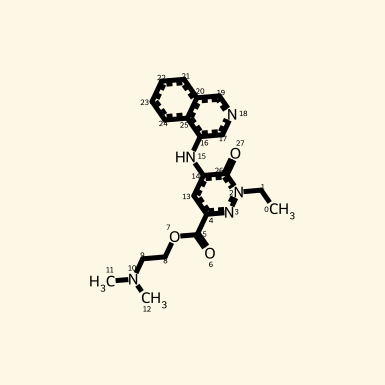 CCn1nc(C(=O)OCCN(C)C)cc(Nc2cncc3ccccc23)c1=O